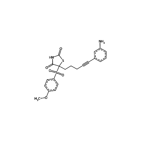 COc1ccc(S(=O)(=O)C2(CCCC#Cc3cccc(N)c3)SC(=O)NC2=O)cc1